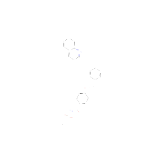 CS(=O)(=O)NC(=O)c1cccc(CC2CCOc3ccc(OCc4ccc5ccccc5n4)cc3C2O)c1